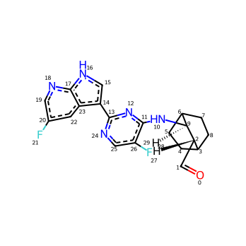 O=C[C@H]1C2CCC(CC2)[C@@H]1Nc1nc(-c2c[nH]c3ncc(F)cc23)ncc1F